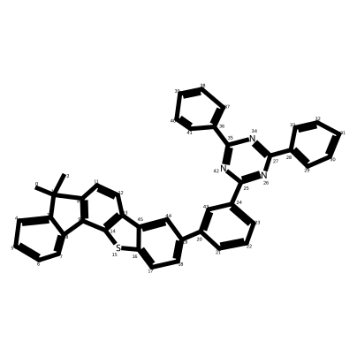 CC1(C)c2ccccc2-c2c1ccc1c2sc2ccc(-c3cccc(-c4nc(-c5ccccc5)nc(-c5ccccc5)n4)c3)cc21